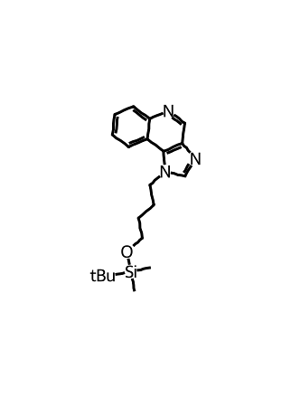 CC(C)(C)[Si](C)(C)OCCCCn1cnc2cnc3ccccc3c21